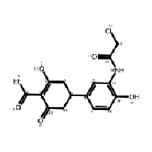 CCC(=O)C1=C(O)CC(c2ccc(O)c(NC(=O)CCl)c2)CC1=O